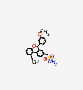 C#Cc1cccc2c1-c1ccc(CS(N)(=O)=O)cc1C(c1cccc(OC)c1)O2